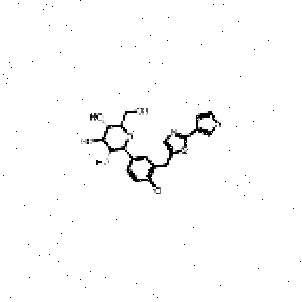 OC[C@H]1O[C@@H](c2ccc(Cl)c(Cc3cnc(-c4ccoc4)s3)c2)[C@H](O)[C@@H](O)[C@@H]1O